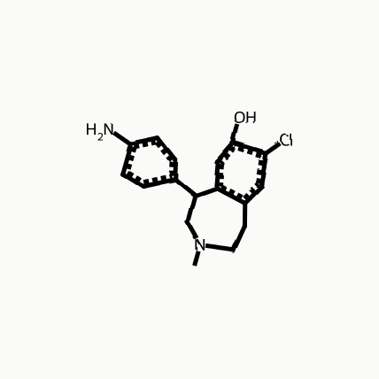 CN1CCc2cc(Cl)c(O)cc2C(c2ccc(N)cc2)C1